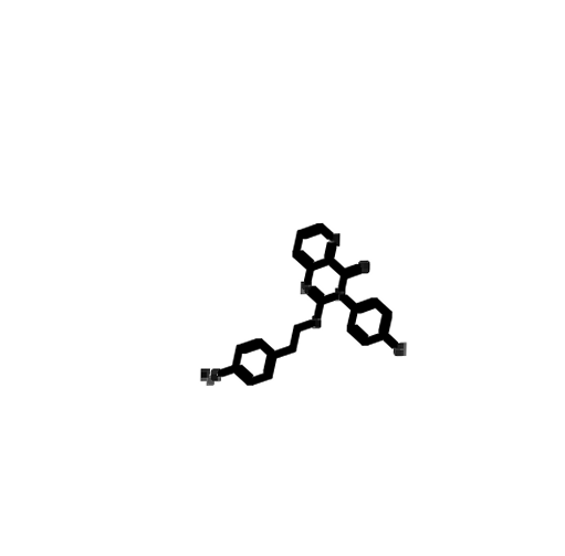 O=c1c2ncccc2nc(SCCc2ccc(C(F)(F)F)cc2)n1-c1ccc(Cl)cc1